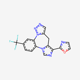 FC(F)(F)c1ccc2c(c1)-n1nncc1Cc1c(-c3ncco3)ncn1-2